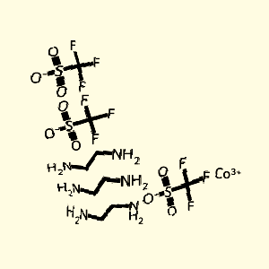 NCCN.NCCN.NCCN.O=S(=O)([O-])C(F)(F)F.O=S(=O)([O-])C(F)(F)F.O=S(=O)([O-])C(F)(F)F.[Co+3]